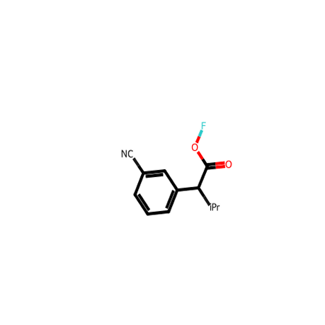 CC(C)C(C(=O)OF)c1cccc(C#N)c1